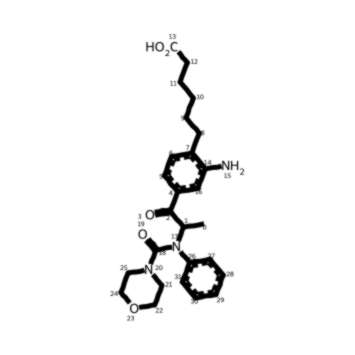 CC(C(=O)c1ccc(CCCCCC(=O)O)c(N)c1)N(C(=O)N1CCOCC1)c1ccccc1